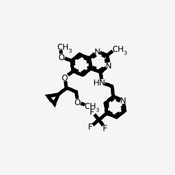 COCC(Oc1cc2c(NCc3cc(C(F)(F)F)ccn3)nc(C)nc2cc1OC)C1CC1